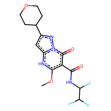 COc1[nH]c2cc(C3CCOCC3)nn2c(=O)c1C(=O)NC(F)C(F)F